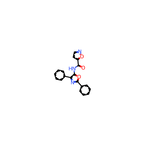 O=C(Nc1oc(-c2ccccc2)nc1-c1ccccc1)c1ccno1